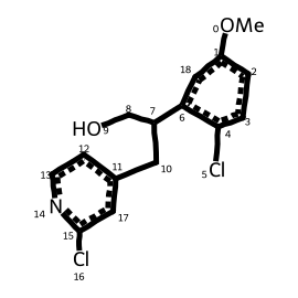 COc1ccc(Cl)c(C(CO)Cc2ccnc(Cl)c2)c1